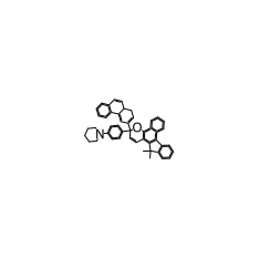 CC1(C)c2ccccc2-c2c1c1c(c3ccccc23)OC(C2=CCC3C=Cc4ccccc4C3=C2)(c2ccc(N3CCCCC3)cc2)C=C1